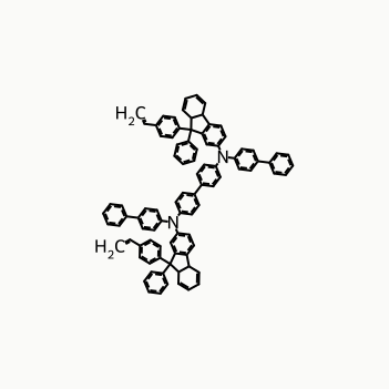 C=Cc1ccc(C2(c3ccccc3)c3cc(N(c4ccc(-c5ccccc5)cc4)c4ccc(-c5ccc(N(c6ccc(-c7ccccc7)cc6)c6ccc7c(c6)C(c6ccccc6)(c6ccc(C=C)cc6)C6C=CC=CC76)cc5)cc4)ccc3C3C=CC=CC32)cc1